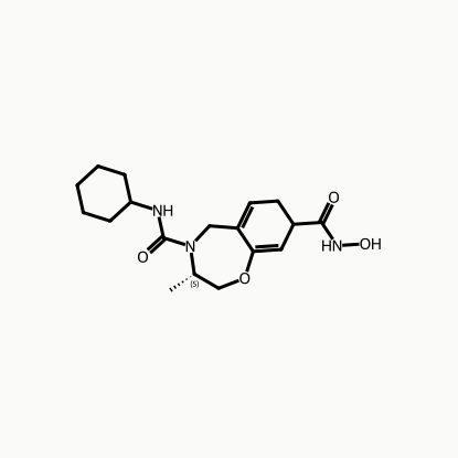 C[C@H]1COC2=CC(C(=O)NO)CC=C2CN1C(=O)NC1CCCCC1